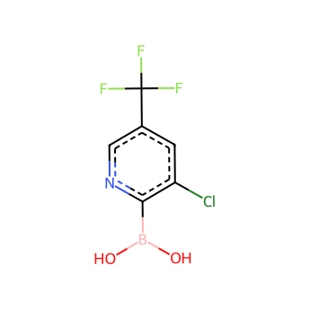 OB(O)c1ncc(C(F)(F)F)cc1Cl